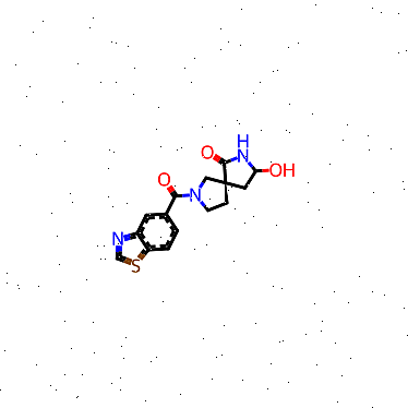 O=C(c1ccc2scnc2c1)N1CC[C@@]2(CC(O)NC2=O)C1